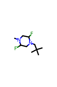 CN1CC(F)N(CC(C)(C)C)CC1F